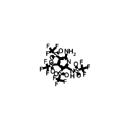 Nc1nc(NS(=O)(=O)C(F)(F)F)c(S(=O)(=O)C(F)(F)F)c(S(=O)(=O)C(F)(F)F)c1S(=O)(=O)C(F)(F)F